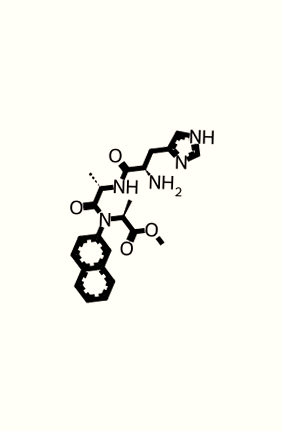 COC(=O)[C@H](C)N(C(=O)[C@H](C)NC(=O)[C@@H](N)Cc1c[nH]cn1)c1ccc2ccccc2c1